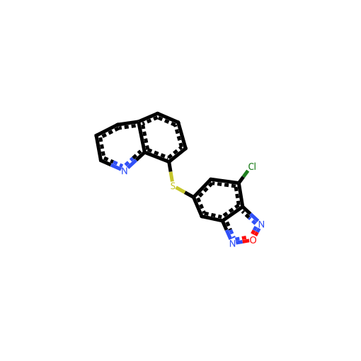 Clc1cc(Sc2cccc3cccnc23)cc2nonc12